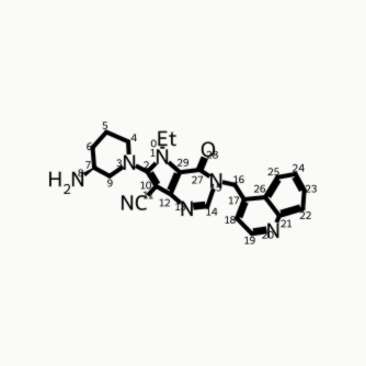 CCn1c(N2CCC[C@H](N)C2)c(C#N)c2ncn(Cc3ccnc4ccccc34)c(=O)c21